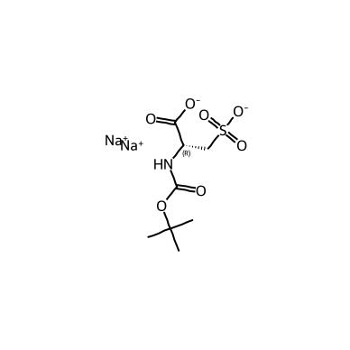 CC(C)(C)OC(=O)N[C@@H](CS(=O)(=O)[O-])C(=O)[O-].[Na+].[Na+]